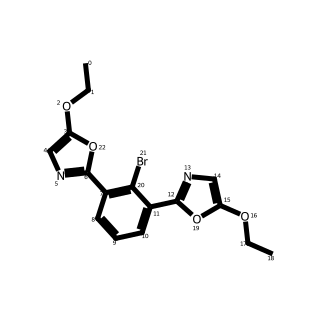 CCOc1cnc(-c2cccc(-c3ncc(OCC)o3)c2Br)o1